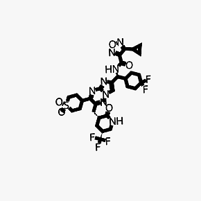 O=C(N[C@H](c1cn2nc(C[C@H]3C[C@@H](C(F)(F)F)CNC3=O)c(C3CCS(=O)(=O)CC3)nc2n1)C1CCC(F)(F)CC1)c1nonc1C1CC1